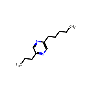 [CH2]CCCCc1cnc(CCC)cn1